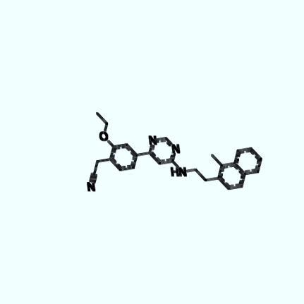 CCOc1cc(-c2cc(NCCc3ccc4ccccc4c3C)ncn2)ccc1CC#N